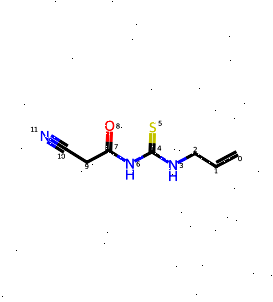 C=CCNC(=S)NC(=O)CC#N